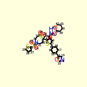 O=C(CC1(c2ccc(-c3ccc(-c4cnco4)cc3)s2)CCN(S(=O)(=O)c2cccs2)CCS1(=O)=O)NOC1CCCCO1